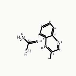 Cc1cnc2ccccc2n1.NC(=S)S